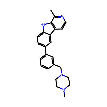 Cc1nccc2c1[nH]c1ccc(-c3cccc(CN4CCN(C)CC4)c3)cc12